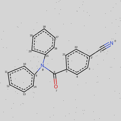 N#Cc1ccc(C(=O)N(c2ccccc2)c2ccccc2)cc1